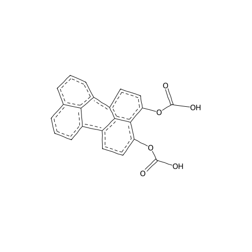 O=C(O)Oc1ccc2c3cccc4cccc(c5ccc(OC(=O)O)c1c25)c43